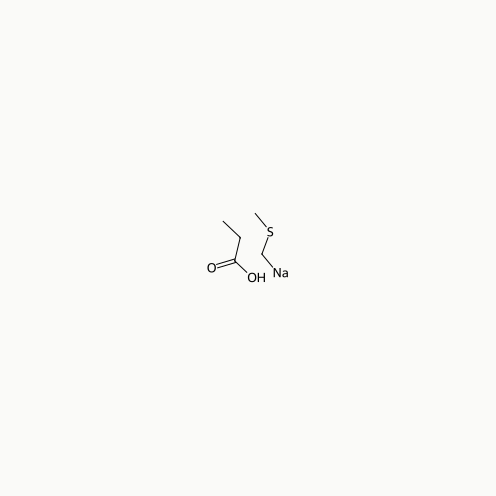 CCC(=O)O.CS[CH2][Na]